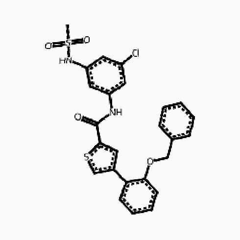 CS(=O)(=O)Nc1cc(Cl)cc(NC(=O)c2cc(-c3ccccc3OCc3ccccc3)cs2)c1